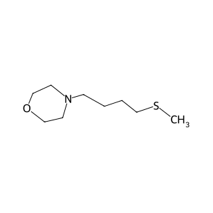 CSCCCCN1CCOCC1